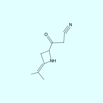 CC(C)=C1CC(C(=O)CC#N)N1